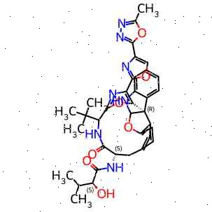 Cc1nnc(-c2coc(-c3nc4oc3[C@@]35c6ccccc6NC3Oc3ccc(cc35)C[C@H](NC(=O)[C@@H](O)C(C)C)C(=O)NC4C(C)(C)C)n2)o1